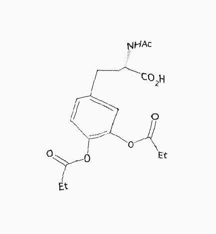 CCC(=O)Oc1ccc(C[C@H](NC(C)=O)C(=O)O)cc1OC(=O)CC